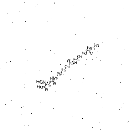 O=CCNC(=O)COCCOCCNC(=O)COCCOCCNC(=O)CC[C@H](NO)C(=O)O